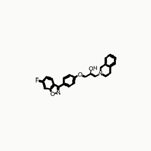 O[C@H](COc1ccc(-c2noc3cc(F)ccc23)cc1)CN1CCc2ccccc2C1